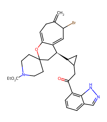 C=C1CC=C2OC3(CCN(C(=O)OCC)CC3)C[C@H](C3CC3CC(=O)c3cccc4cn[nH]c34)C2=CC1Br